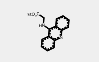 CCOC(=O)CNc1c2ccccc2nc2ccccc12